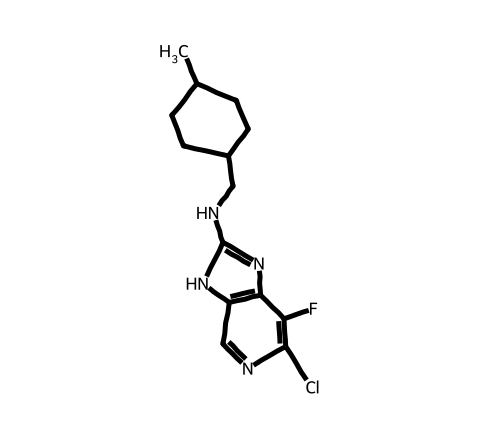 CC1CCC(CNc2nc3c(F)c(Cl)ncc3[nH]2)CC1